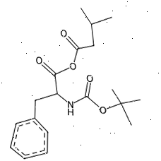 CC(C)CC(=O)OC(=O)C(Cc1ccccc1)NC(=O)OC(C)(C)C